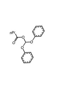 CCCC(=O)OC(Oc1ccccc1)Oc1ccccc1